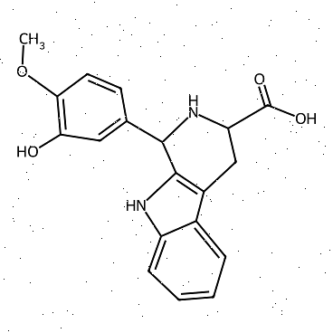 COc1ccc(C2NC(C(=O)O)Cc3c2[nH]c2ccccc32)cc1O